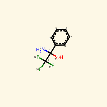 NC(O)(c1ccccc1)C(F)(F)F